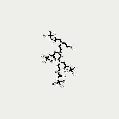 CC(C)(C)OC(=O)CN(CCN)CCN(CCN(CCNC(=O)OC(C)(C)C)CC(=O)OC(C)(C)C)CC(=O)OC(C)(C)C